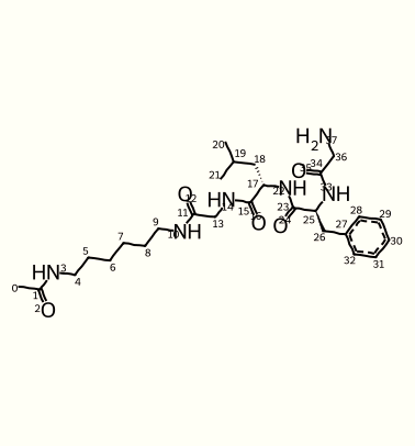 CC(=O)NCCCCCCNC(=O)CNC(=O)[C@H](CC(C)C)NC(=O)[C@H](Cc1ccccc1)NC(=O)CN